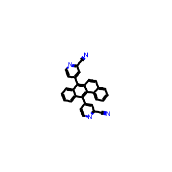 N#Cc1cc(-c2c3ccccc3c(-c3ccnc(C#N)c3)c3c2ccc2ccccc23)ccn1